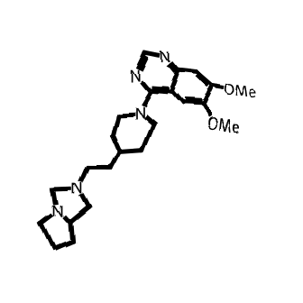 COc1cc2ncnc(N3CCC(CCN4CC5CCCN5C4)CC3)c2cc1OC